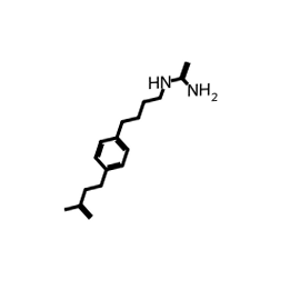 C=C(C)CCc1ccc(CCCCNC(=C)N)cc1